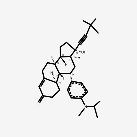 CC(C)N(C)c1ccc([C@H]2C[C@@]3(C)[C@@H](CC[C@@]3(O)C#CC(C)(C)C)[C@@H]3CCC4=CC(=O)CC[C@@H]4[C@H]32)cc1